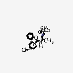 C[C@@H](/C=C/S(C)(=O)=O)NC(=O)N1CC[C@H](CCl)C[C@@H]1c1ccccc1